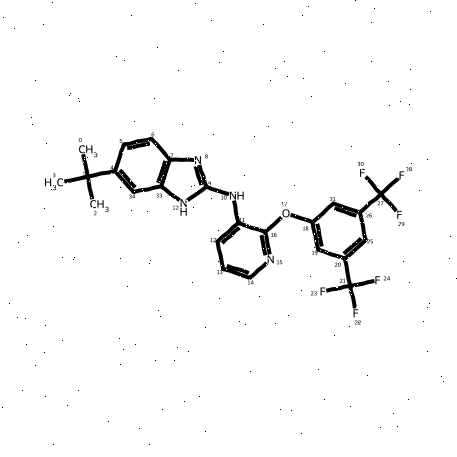 CC(C)(C)c1ccc2nc(Nc3cccnc3Oc3cc(C(F)(F)F)cc(C(F)(F)F)c3)[nH]c2c1